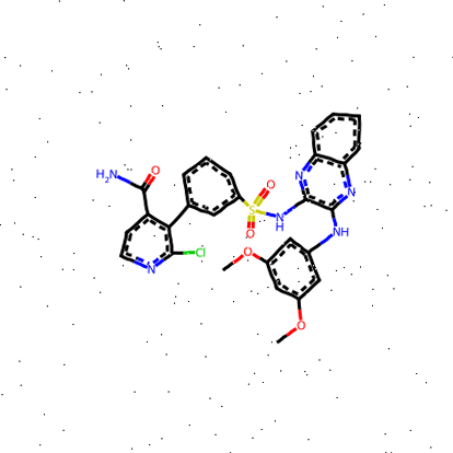 COc1cc(Nc2nc3ccccc3nc2NS(=O)(=O)c2cccc(-c3c(C(N)=O)ccnc3Cl)c2)cc(OC)c1